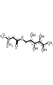 C[C@@H](O)[C@H](O)[C@@H](O)[C@@H](O)COC(=O)CN(C)C